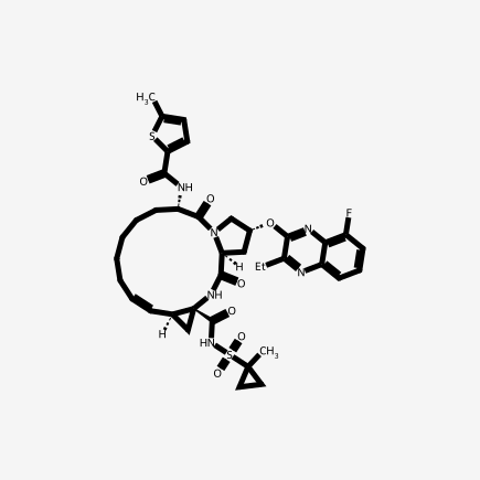 CCc1nc2cccc(F)c2nc1O[C@@H]1C[C@H]2C(=O)N[C@]3(C(=O)NS(=O)(=O)C4(C)CC4)C[C@H]3/C=C\CCCCC[C@H](NC(=O)c3ccc(C)s3)C(=O)N2C1